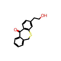 O=C1c2ccccc2CSc2cc(CCO)ccc21